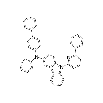 c1ccc(-c2ccc(N(c3ccccc3)c3ccc4c(c3)c3ccccc3n4-c3cccc(-c4ccccc4)n3)cc2)cc1